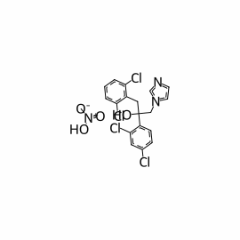 O=[N+]([O-])O.OC(Cc1c(Cl)cccc1Cl)(Cn1ccnc1)c1ccc(Cl)cc1Cl